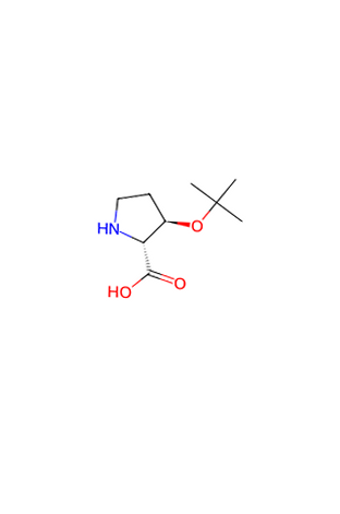 CC(C)(C)O[C@@H]1CCN[C@H]1C(=O)O